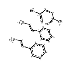 NC=Cc1ccccc1.NC=Cc1ccccc1.O=C(O)/C=C\C(=O)O